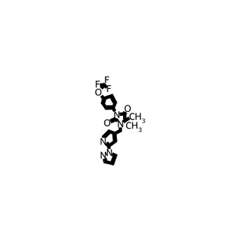 CC1(C)C(=O)N(c2ccc(OC(F)(F)F)cc2)C(=O)N1Cc1ccnc(-n2cccn2)c1